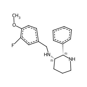 COc1ccc(CN[C@H]2CCCN[C@H]2c2ccccc2)cc1F